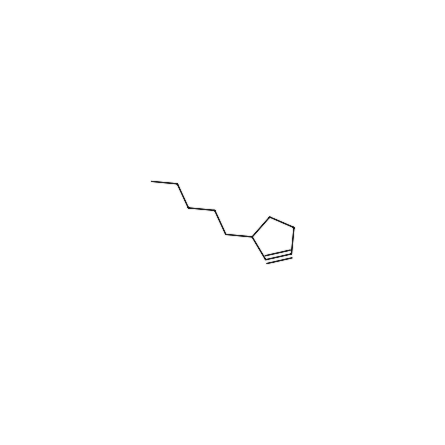 CCCCCC1C#CCC1